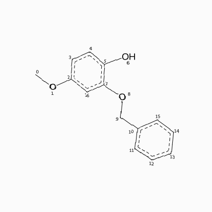 COc1ccc(O)c(OCc2ccccc2)c1